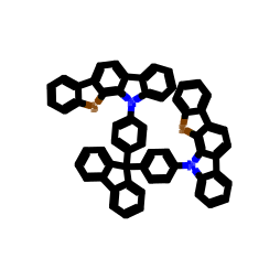 c1ccc2c(c1)-c1ccccc1C2(c1ccc(-n2c3ccccc3c3ccc4c5ccccc5sc4c32)cc1)c1ccc(-n2c3ccccc3c3ccc4c5ccccc5sc4c32)cc1